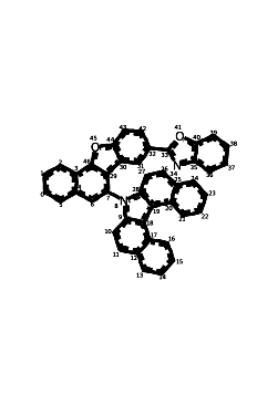 c1ccc2c(c1)cc(-n1c3ccc4ccccc4c3c3c4ccccc4ccc31)c1c3cc(-c4nc5ccccc5o4)ccc3oc21